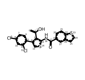 C=C(O)c1c(-c2ccc(Cl)cc2Cl)csc1NC(=O)c1ccc2sccc2c1